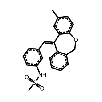 Cc1ccc2c(c1)/C(=C/c1cccc(NS(C)(=O)=O)c1)c1ccccc1CO2